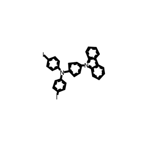 Ic1ccc(N(c2ccc(I)cc2)c2ccc(-n3c4ccccc4c4ccccc43)cc2)cc1